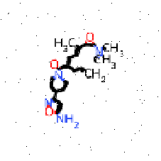 C=CC/C(=C\C=C(/C)C1OC1N(C)C)C(=O)N1CCC(c2cc(N)on2)CC1